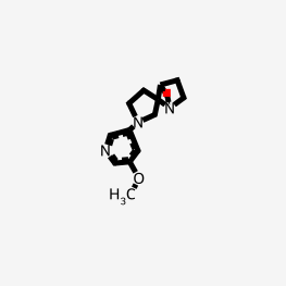 COc1cncc(N2CCC3(C2)C2CCN3CC2)c1